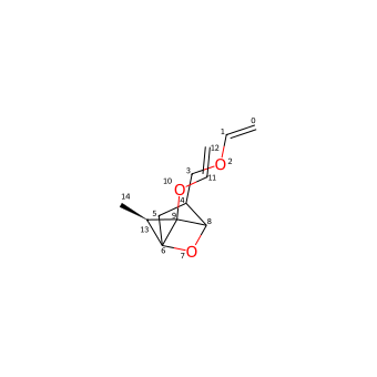 C=COCC1CC23OC1C2(OC=C)[C@@H]3C